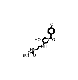 CC(C)(C)OC(=O)NCCN[C@@H]1CN(C(=O)c2ccc(Cl)cc2)C[C@H]1O